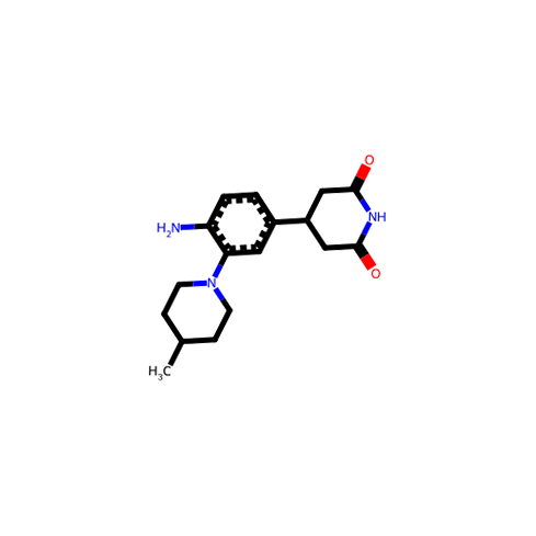 CC1CCN(c2cc(C3CC(=O)NC(=O)C3)ccc2N)CC1